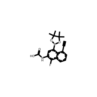 C#Cc1cccc2c(F)c(NC(=O)O)cc(B3OC(C)(C)C(C)(C)O3)c12